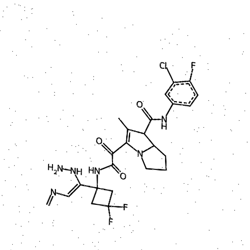 C=N/C=C(\NN)C1(NC(=O)C(=O)C2=C(C)C(C(=O)Nc3ccc(F)c(Cl)c3)C3CCCN23)CC(F)(F)C1